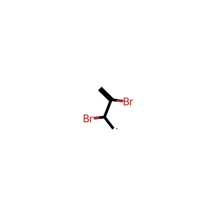 [CH2]C(Br)C(=C)Br